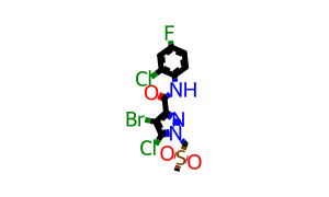 CS(=O)(=O)Cn1nc(C(=O)Nc2ccc(F)cc2Cl)c(Br)c1Cl